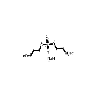 CCCCCCCCCCCCOS(=O)(=O)OCCCCCCCCCCCC.[NaH]